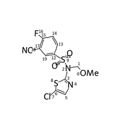 COCN(c1ncc(Cl)s1)S(=O)(=O)c1ccc(F)c(C#N)c1